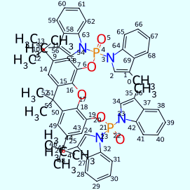 Cc1cn(P(=O)(Oc2cc(C(C)(C)C)cc3c2Oc2c(OP(=O)(n4cc(C)c5ccccc54)n4cc(C)c5ccccc54)cc(C(C)(C)C)cc2C3(C)C)n2cc(C)c3ccccc32)c2ccccc12